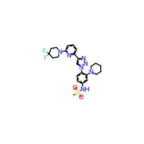 CS(=O)(=O)Nc1ccc(-n2cc(-c3cccc(N4CCC(F)(F)CC4)n3)nn2)c(N2CCCCC2)c1